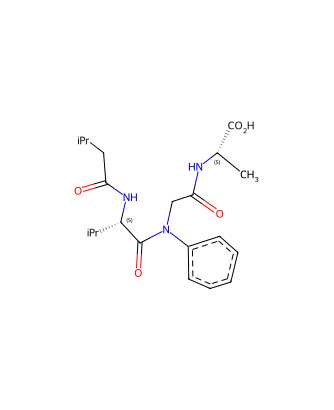 CC(C)CC(=O)N[C@H](C(=O)N(CC(=O)N[C@@H](C)C(=O)O)c1ccccc1)C(C)C